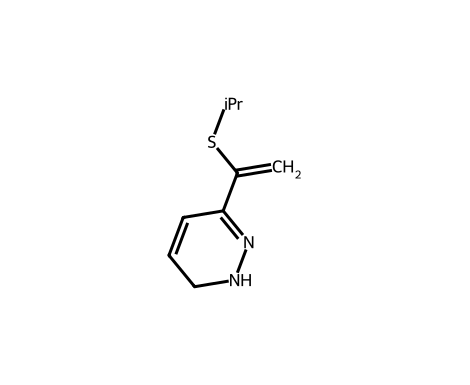 C=C(SC(C)C)C1=NNCC=C1